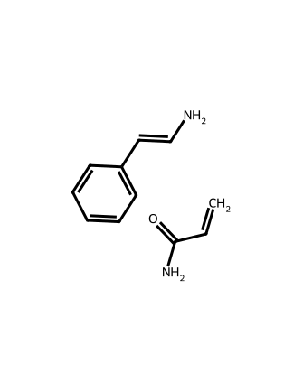 C=CC(N)=O.NC=Cc1ccccc1